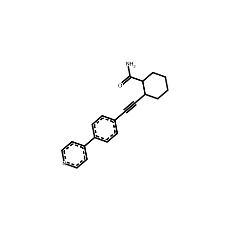 NC(=O)C1CCCCC1C#Cc1ccc(-c2ccncc2)cc1